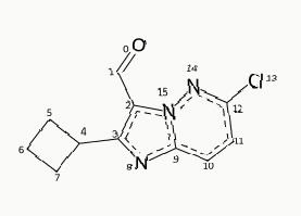 O=Cc1c(C2CCC2)nc2ccc(Cl)nn12